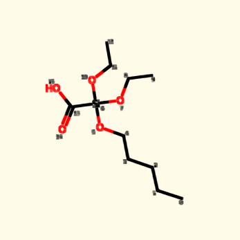 CCCCCO[Si](OCC)(OCC)C(=O)O